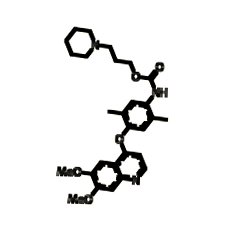 COc1cc2nccc(Oc3cc(C)c(NC(=O)OCCCN4CCCCC4)cc3C)c2cc1OC